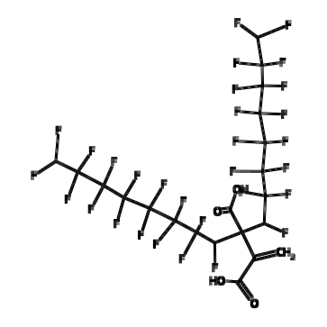 C=C(C(=O)O)C(C(=O)O)(C(F)C(F)(F)C(F)(F)C(F)(F)C(F)(F)C(F)(F)C(F)(F)C(F)F)C(F)C(F)(F)C(F)(F)C(F)(F)C(F)(F)C(F)(F)C(F)(F)C(F)F